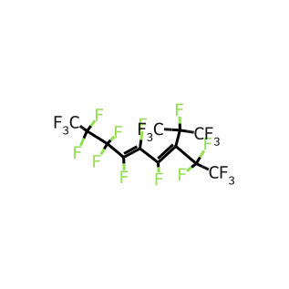 FC(C(F)=C(C(F)(F)C(F)(F)F)C(F)(C(F)(F)F)C(F)(F)F)=C(F)C(F)(F)C(F)(F)C(F)(F)F